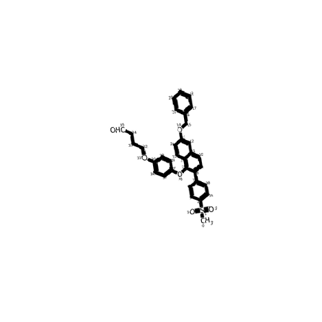 CS(=O)(=O)c1ccc(-c2ccc3cc(OCc4ccccc4)ccc3c2Oc2ccc(OCCCC=O)cc2)cc1